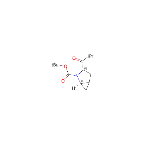 CC(C)C(=O)[C@@H]1CC2C[C@H]2N1C(=O)OC(C)(C)C